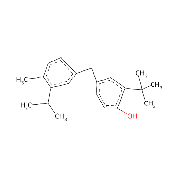 Cc1ccc(Cc2ccc(O)c(C(C)(C)C)c2)cc1C(C)C